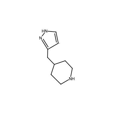 [c]1c[nH]nc1CC1CCNCC1